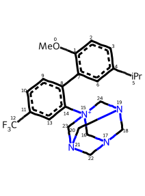 COc1ccc(C(C)C)cc1-c1ccc(C(F)(F)F)cc1[N+]12CN3CN(CN(C3)C1)C2